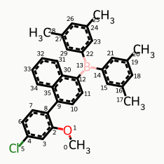 COc1cc(Cl)ccc1-c1ccc(B(c2cc(C)cc(C)c2)c2cc(C)cc(C)c2)c2ccccc12